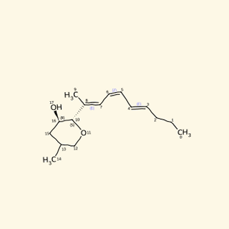 CCC/C=C/C=C\C=C(/C)[C@@H]1OCC(C)C[C@H]1O